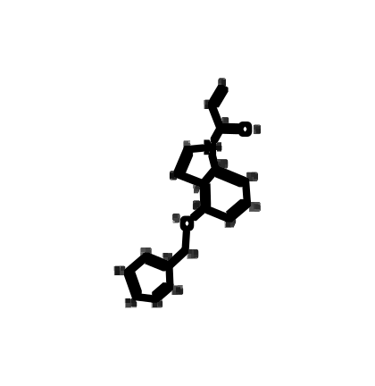 C=CC(=O)n1ccc2c(OCc3ccccc3)cccc21